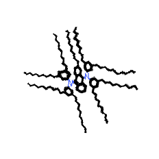 CCCCCCCCCCc1cc(CCCCCCCCCC)cc(N(c2cc(CCCCCCCCCC)cc(CCCCCCCCCC)c2)c2c3ccccc3c(N(c3cc(CCCCCCCCCC)cc(CCCCCCCCCC)c3)c3cc(CCCCCCCCCC)cc(CCCCCCCCCC)c3)c3cc(CCCCCCCCCC)ccc23)c1